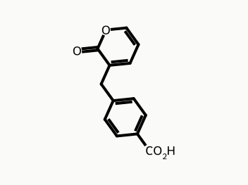 O=C(O)c1ccc(Cc2cccoc2=O)cc1